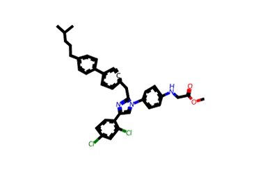 COC(=O)CNc1ccc(-n2cc(-c3ccc(Cl)cc3Cl)nc2Cc2ccc(-c3ccc(CCCC(C)C)cc3)cc2)cc1